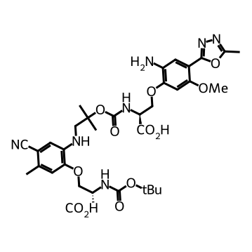 COc1cc(OC[C@H](NC(=O)OC(C)(C)CNc2cc(C#N)c(C)cc2OC[C@H](NC(=O)OC(C)(C)C)C(=O)O)C(=O)O)c(N)cc1-c1nnc(C)o1